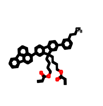 C=CC(=O)OCCCCC1(CCCCOC(=O)C=C)c2cc(-c3cccc(CCC(F)(F)F)c3)ccc2-c2ccc(-c3ccc4c5c(cccc35)-c3ccccc3-4)cc21